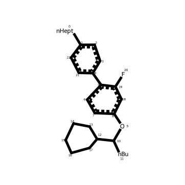 CCCCCCCc1ccc(-c2ccc(OC(CCCC)C3CCCCC3)cc2F)cc1